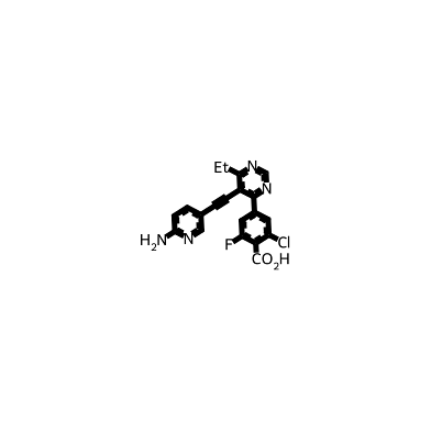 CCc1ncnc(-c2cc(F)c(C(=O)O)c(Cl)c2)c1C#Cc1ccc(N)nc1